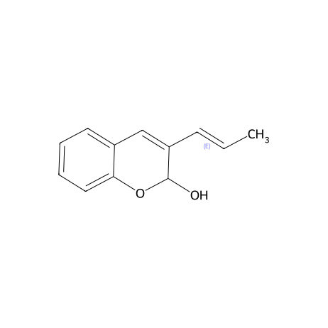 C/C=C/C1=Cc2ccccc2OC1O